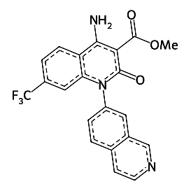 COC(=O)c1c(N)c2ccc(C(F)(F)F)cc2n(-c2ccc3ccncc3c2)c1=O